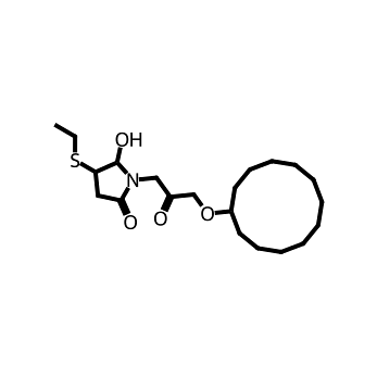 CCSC1CC(=O)N(CC(=O)COC2CCCCCCCCCCC2)C1O